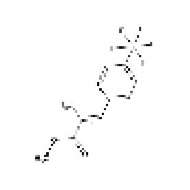 COC(=O)/C(C)=C/c1ccc(S(F)(F)(F)(F)F)cc1